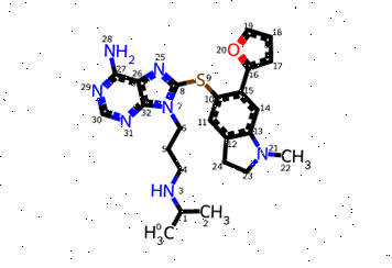 CC(C)NCCCn1c(Sc2cc3c(cc2-c2ccco2)N(C)CC3)nc2c(N)ncnc21